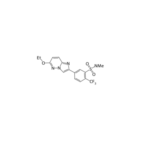 CCOc1ccc2nc(-c3ccc(C(F)(F)F)c(S(=O)(=O)NC)c3)cn2n1